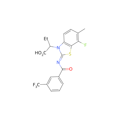 CCC(C(=O)O)n1c(=NC(=O)c2cccc(C(F)(F)F)c2)sc2c(F)c(C)ccc21